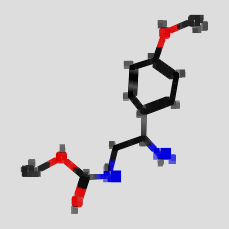 CC(C)(C)OC(=O)NCC(N)c1ccc(OC(F)(F)F)cc1